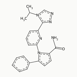 CC(C)n1cnnc1-c1cccc(-n2c(C(N)=O)ccc2-c2ccccc2)n1